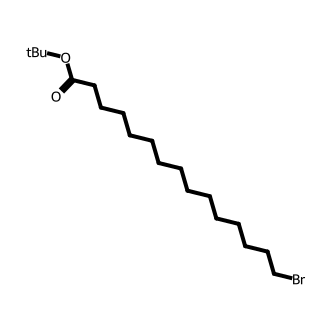 CC(C)(C)OC(=O)CCCCCCCCCCCCCCBr